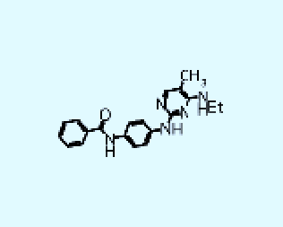 CCNc1nc(Nc2ccc(NC(=O)c3ccccc3)cc2)ncc1C